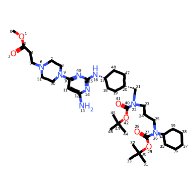 COC(=O)CCN1CCN(c2cc(N)nc(N[C@H]3CC[C@@H](CN(CCCN(C(=O)OC(C)(C)C)C4CCCCC4)C(=O)OC(C)(C)C)CC3)n2)CC1